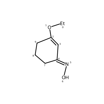 CCOC1=CC(=NO)CCC1